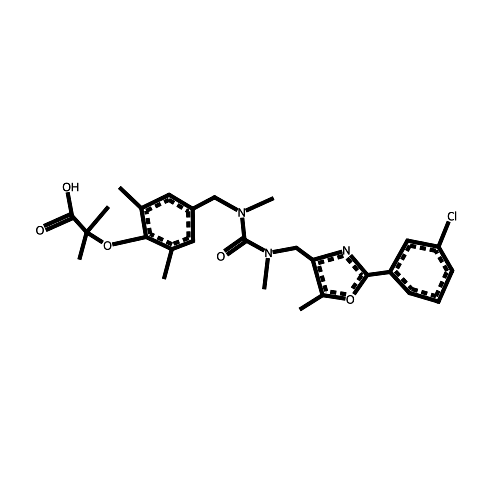 Cc1cc(CN(C)C(=O)N(C)Cc2nc(-c3cccc(Cl)c3)oc2C)cc(C)c1OC(C)(C)C(=O)O